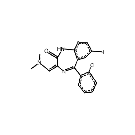 CN(C)C=C1N=C(c2ccccc2Cl)c2cc(I)ccc2NC1=O